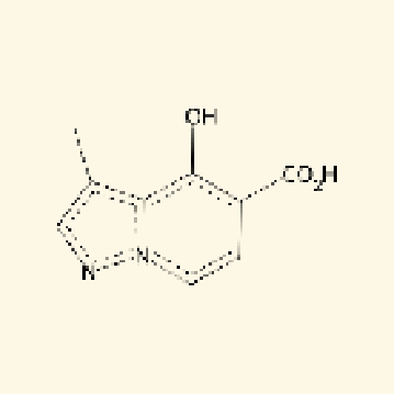 Cc1cnn2ccc(C(=O)O)c(O)c12